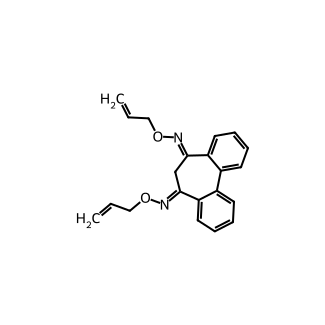 C=CCON=C1CC(=NOCC=C)c2ccccc2-c2ccccc21